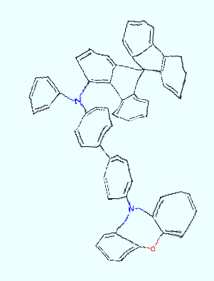 C1=CC2=C(CC1)c1ccccc1C21c2ccccc2-c2c(N(c3ccccc3)c3ccc(-c4ccc(N5c6ccccc6Oc6ccccc65)cc4)cc3)cccc21